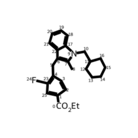 CCOC(=O)c1ccc(Cc2c(C)n(CC3CCCCC3)c3ccccc23)c(F)c1